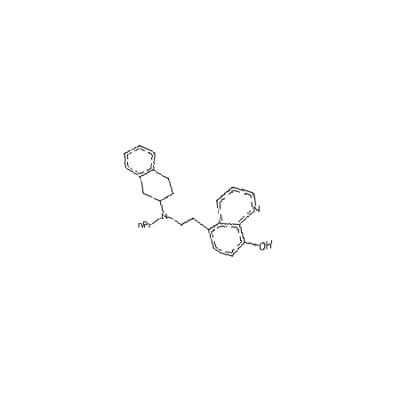 CCCN(CCc1ccc(O)c2ncccc12)C1CCc2ccccc2C1